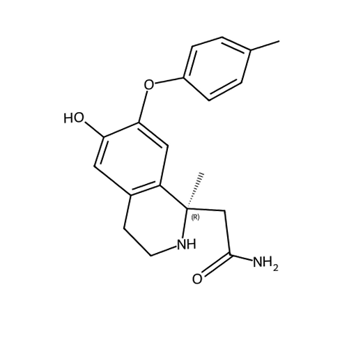 Cc1ccc(Oc2cc3c(cc2O)CCN[C@]3(C)CC(N)=O)cc1